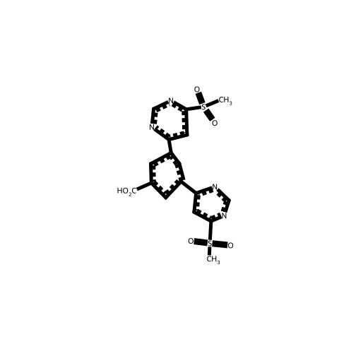 CS(=O)(=O)c1cc(-c2cc(C(=O)O)cc(-c3cc(S(C)(=O)=O)ncn3)c2)ncn1